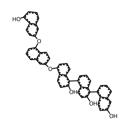 Oc1ccc2c(-c3c(O)ccc4c(-c5c(O)ccc6c(Oc7ccc8c(Oc9ccc%10c(O)cccc%10c9)cccc8c7)cccc56)cccc34)cccc2c1